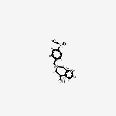 O=[N+]([O-])c1ccc(CN2Cc3sccc3C(O)C2)cc1